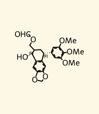 COc1cc([C@H]2CC(COC=O)[C@@H](O)c3cc4c(cc32)OCO4)cc(OC)c1OC